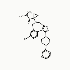 CN(C)C(=O)C1(N2Cc3cc(Cl)ccc3-n3c(nnc3C3CCN(c4cnccn4)CC3)C2)CC1